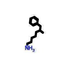 CC(CCCCCN)Cc1ccccc1